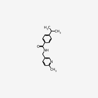 Cc1ccc(CNC(=O)c2ccc(C(C)C)cc2)cn1